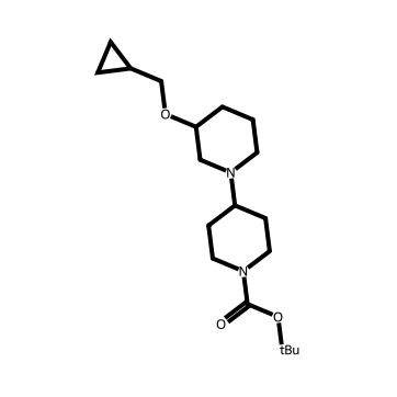 CC(C)(C)OC(=O)N1CCC(N2CCCC(OCC3CC3)C2)CC1